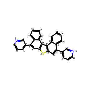 c1cncc(-c2cc3sc4cc(-c5cccnc5)c5ccccc5c4c3c3ccccc23)c1